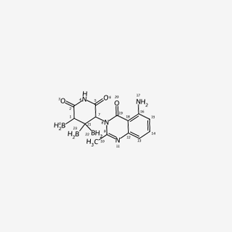 BC1C(=O)NC(=O)C(n2c(C)nc3cccc(N)c3c2=O)C1(B)B